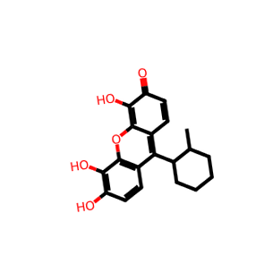 CC1CCCCC1c1c2ccc(=O)c(O)c-2oc2c(O)c(O)ccc12